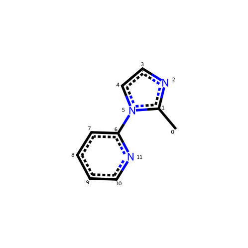 Cc1n[c]cn1-c1ccccn1